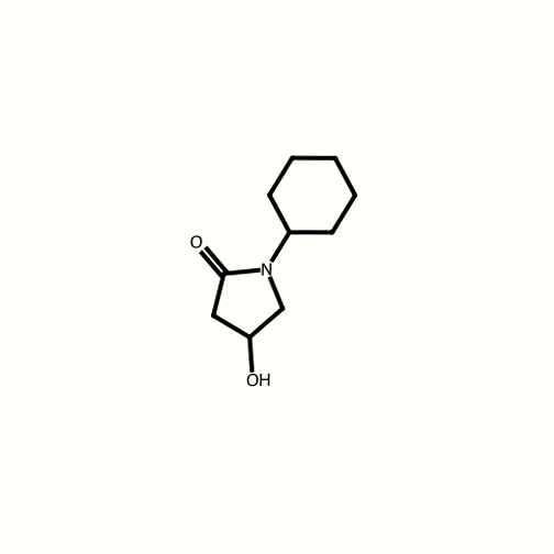 O=C1CC(O)CN1C1CCCCC1